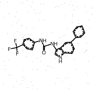 O=C(Nc1ccc(C(F)(F)F)cc1)Nc1c[nH]c2ccc(-c3ccccc3)cc12